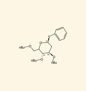 CCCCOCC1O[C@@H](Sc2ccccc2)C[C@@H](OCCCC)[C@@H]1OCCCC